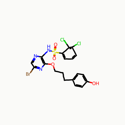 O=S(=O)(Nc1ncc(Br)nc1OCCCc1ccc(O)cc1)c1cccc(Cl)c1Cl